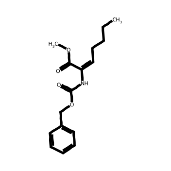 CCCCC=C(NC(=O)OCc1ccccc1)C(=O)OC